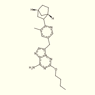 CCCCOc1nc(N)c2ncc(Cc3cnc(C4C[C@@H]5CC[C@H]4C5)c(C)c3)n2n1